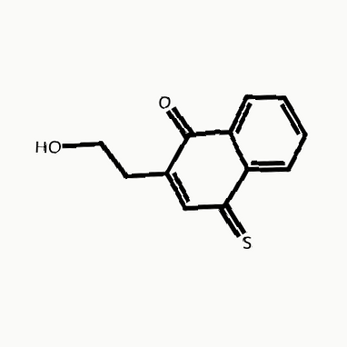 O=C1C(CCO)=CC(=S)c2ccccc21